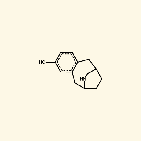 Oc1ccc2c(c1)CC1CCC(CN1)C2